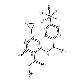 CC(Nc1nc(C2CC2)[nH]c(=O)c1C(=N)CO)c1ccc(S(F)(F)(F)(F)F)cc1